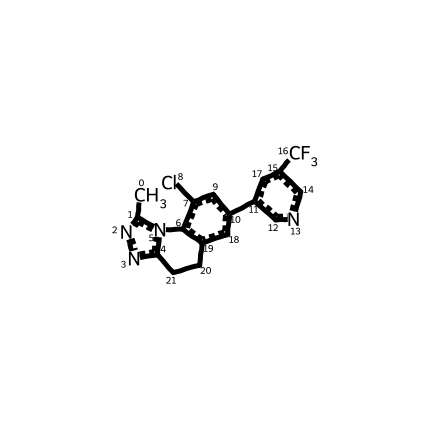 Cc1nnc2n1-c1c(Cl)cc(-c3cncc(C(F)(F)F)c3)cc1CC2